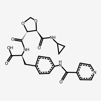 O=C(Nc1ccc(C[C@H](NC(=O)[C@@H]2OCO[C@H]2C(=O)NC2CC2)C(=O)O)cc1)c1ccncc1